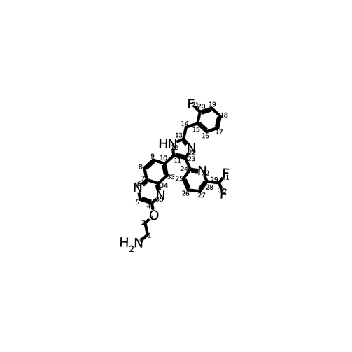 NCCOc1cnc2ccc(-c3[nH]c(Cc4ccccc4F)nc3-c3cccc(C(F)F)n3)cc2n1